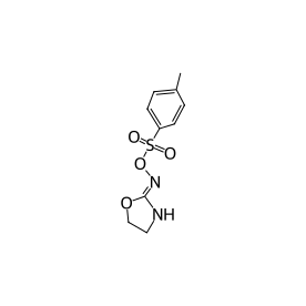 Cc1ccc(S(=O)(=O)ON=C2NCCO2)cc1